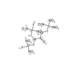 O=C(OCC([N+](=O)[O-])([N+](=O)[O-])[N+](=O)[O-])N(CC(F)([N+](=O)[O-])[N+](=O)[O-])CC(F)([N+](=O)[O-])[N+](=O)[O-]